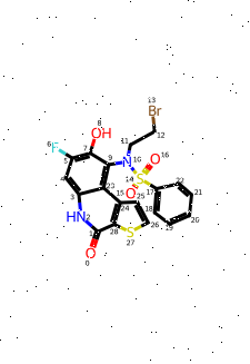 O=c1[nH]c2cc(F)c(O)c(N(CCBr)S(=O)(=O)c3ccccc3)c2c2ccsc12